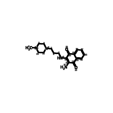 CN1CCN(CCCNC2=C(N)C(=O)c3ccccc3C2=O)CC1